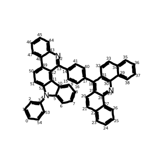 c1ccc(-n2c3ccccc3c3c4c(-c5ccc(-c6c7ccc8ccccc8c7nc7c6ccc6ccccc67)cc5)nc5ccccc5c4ccc32)cc1